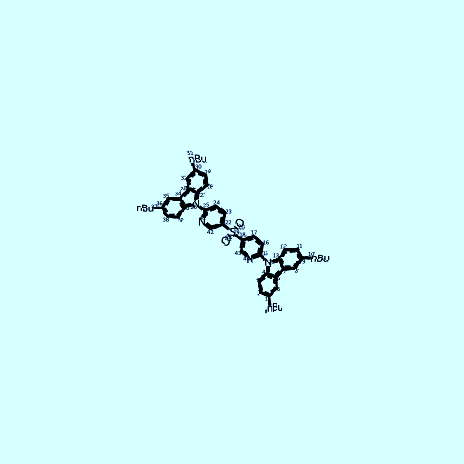 CCCCc1ccc2c(c1)c1cc(CCCC)ccc1n2-c1ccc(S(=O)(=O)c2ccc(-n3c4ccc(CCCC)cc4c4cc(CCCC)ccc43)nc2)cn1